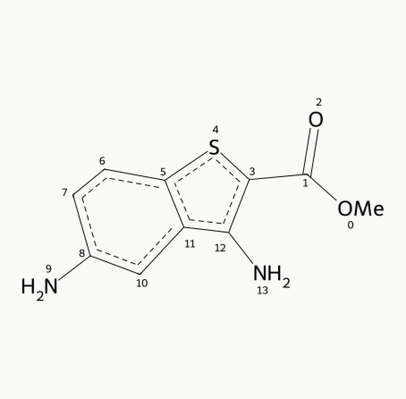 COC(=O)c1sc2ccc(N)cc2c1N